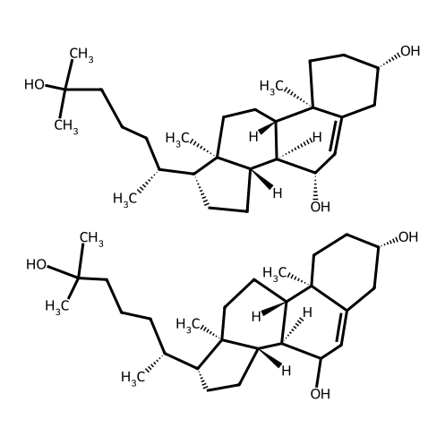 C[C@H](CCCC(C)(C)O)[C@H]1CC[C@H]2[C@@H]3C(O)C=C4C[C@@H](O)CC[C@]4(C)[C@H]3CC[C@]12C.C[C@H](CCCC(C)(C)O)[C@H]1CC[C@H]2[C@@H]3[C@@H](O)C=C4C[C@@H](O)CC[C@]4(C)[C@H]3CC[C@]12C